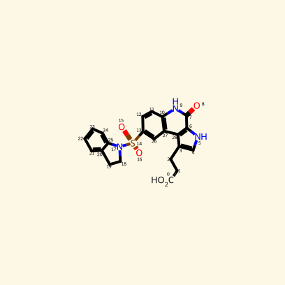 O=C(O)CCc1c[nH]c2c(=O)[nH]c3ccc(S(=O)(=O)N4CCc5ccccc54)cc3c12